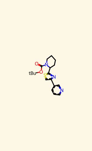 CC(C)(C)OC(=O)N1CCCCC1c1nc(-c2cccnc2)cs1